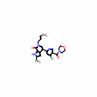 CC=CCn1cc(-c2cc(Cl)c(C(=O)N3CCOCC3)cn2)c2cc(C)[nH]c2c1=O